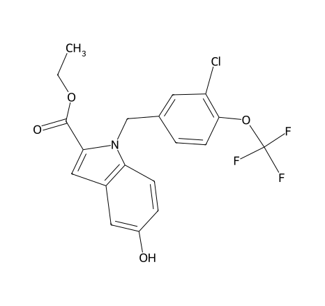 CCOC(=O)c1cc2cc(O)ccc2n1Cc1ccc(OC(F)(F)F)c(Cl)c1